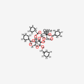 CO[C@@H]1C(OC(=O)c2ccccc2)[C@H](O[C@@H]2C(=O)[C@H](OCc3ccccc3)OC3COC(c4ccccc4)O[C@H]32)OC2COC(c3ccccc3)O[C@H]21